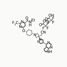 CCNC(=O)c1cc(O[C@H]2CC[C@@H](N3CC(CC#N)(n4cc(-c5ncnc6[nH]ccc56)cn4)C3)CC2)nc(C(F)(F)F)n1.O=C(O)C(F)(F)F.O=C(O)C(F)(F)F